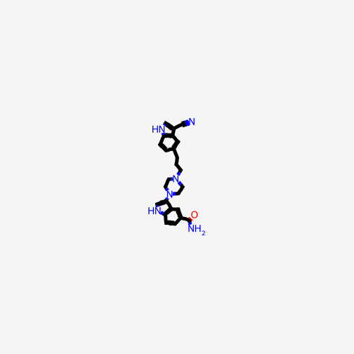 N#Cc1c[nH]c2ccc(CCCN3CCN(c4c[nH]c5ccc(C(N)=O)cc45)CC3)cc12